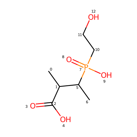 CC(C(=O)O)C(C)P(=O)(O)CCO